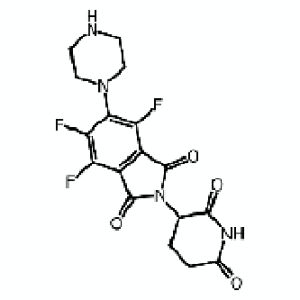 O=C1CCC(N2C(=O)c3c(F)c(F)c(N4CCNCC4)c(F)c3C2=O)C(=O)N1